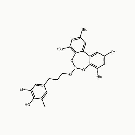 CCc1cc(CCCOp2oc3c(C(C)(C)C)cc(C(C)C)cc3c3cc(C(C)(C)C)cc(C(C)(C)C)c3o2)cc(C)c1O